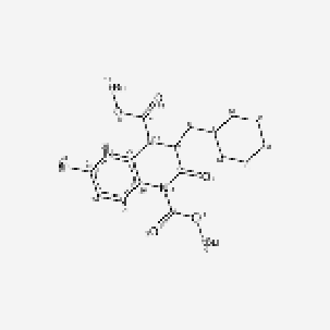 CC(C)(C)OC(=O)N1C(=O)C(CC2CCCCC2)N(C(=O)OC(C)(C)C)c2nc(Br)cnc21